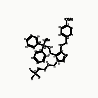 COc1ccc(CSc2ncn(COCC[Si](C)(C)C)c2CO[Si](c2ccccc2)(c2ccccc2)C(C)(C)C)cc1